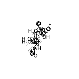 CC(C)(C)OC(=O)N[C@@H](CCN(C(=O)CO)[C@@H](c1nc(-c2cc(F)ccc2F)cn1Cc1ccccc1)C(C)(C)C)C(=O)NCCNC(=O)CN1C(=O)C=CC1=O